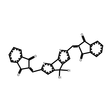 CCC1(CC)c2cc(C=C3C(=O)c4ccccc4C3=O)sc2-c2sc(C=C3C(=O)c4ccccc4C3=O)cc21